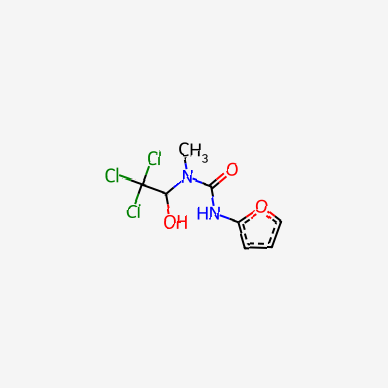 CN(C(=O)Nc1ccco1)C(O)C(Cl)(Cl)Cl